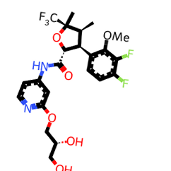 COc1c([C@H]2[C@H](C(=O)Nc3ccnc(OC[C@H](O)CO)c3)O[C@@](C)(C(F)(F)F)[C@H]2C)ccc(F)c1F